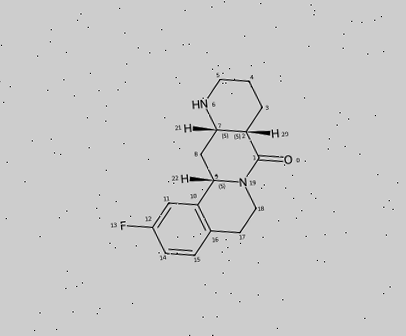 O=C1[C@H]2CCCN[C@H]2C[C@H]2c3cc(F)ccc3CCN12